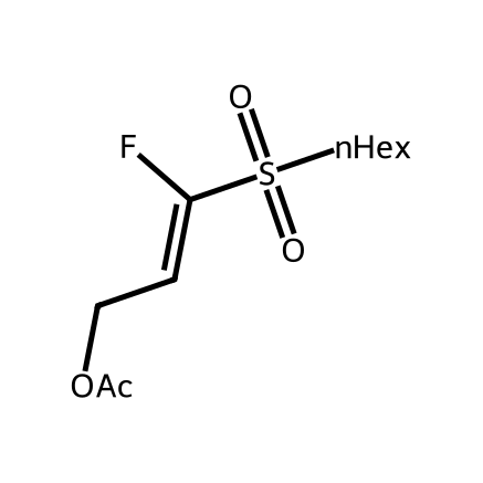 CCCCCCS(=O)(=O)C(F)=CCOC(C)=O